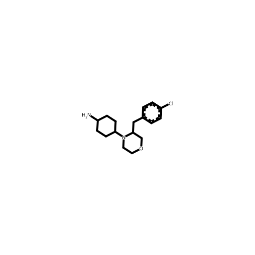 NC1CCC(N2CCOCC2Cc2ccc(Cl)cc2)CC1